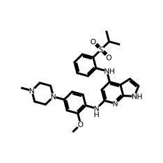 COc1cc(N2CCN(C)CC2)ccc1Nc1cc(Nc2ccccc2S(=O)(=O)C(C)C)c2cc[nH]c2n1